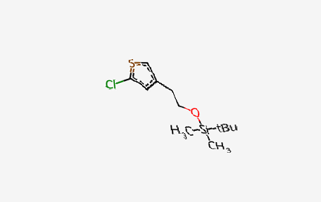 CC(C)(C)[Si](C)(C)OCCc1csc(Cl)c1